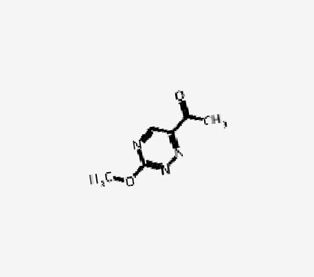 COc1ncc(C(C)=O)nn1